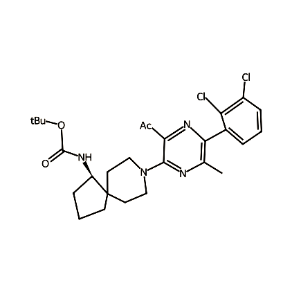 CC(=O)c1nc(-c2cccc(Cl)c2Cl)c(C)nc1N1CCC2(CCC[C@H]2NC(=O)OC(C)(C)C)CC1